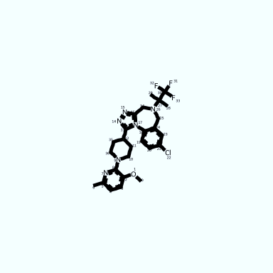 COc1ccc(C)nc1N1CCC(c2nnc3n2-c2ccc(Cl)cc2CN(C(C)(C)C(F)(F)F)C3)CC1